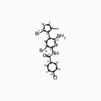 Cc1csc(Br)c1-c1cc(Br)c(NC(=O)c2ccc(Cl)cc2)nc1N